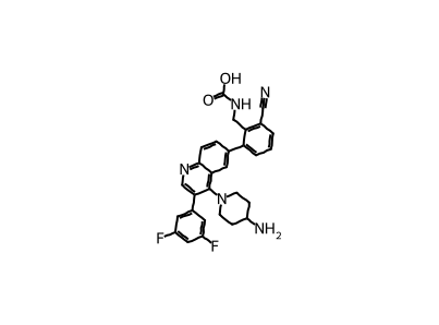 N#Cc1cccc(-c2ccc3ncc(-c4cc(F)cc(F)c4)c(N4CCC(N)CC4)c3c2)c1CNC(=O)O